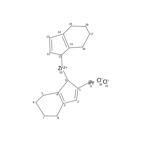 CC(C)C1=CC2=C(CCCC2)[CH]1[Zr+2][CH]1C=CC2=C1CCCC2.[Cl-].[Cl-]